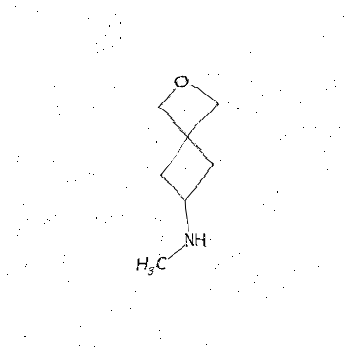 CNC1CC2(COC2)C1